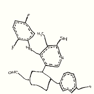 Cc1c(S)ncc(C2CN(C=O)CCC2c2ccc(F)cc2)c1Nc1cc(F)ccc1F